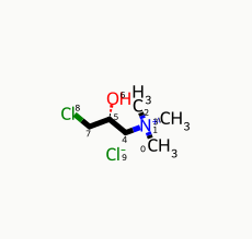 C[N+](C)(C)C[C@@H](O)CCl.[Cl-]